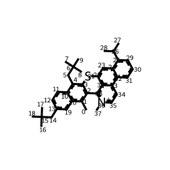 Cc1c2c(c(CC(C)(C)C)c3ccc(CC(C)(C)C)cc13)Sc1cc3c(C(C)C)cccc3c3cc[n+](C)c-2c13